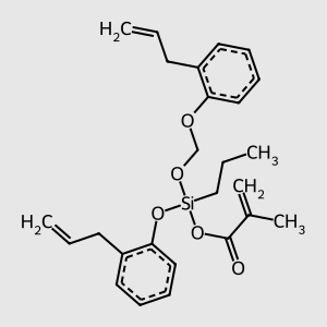 C=CCc1ccccc1OCO[Si](CCC)(OC(=O)C(=C)C)Oc1ccccc1CC=C